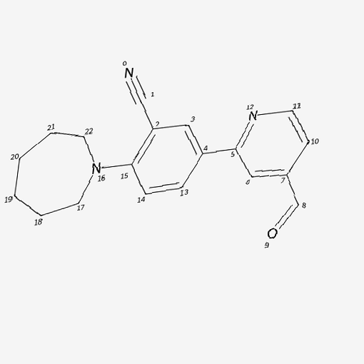 N#Cc1cc(-c2cc(C=O)ccn2)ccc1N1CCCCCC1